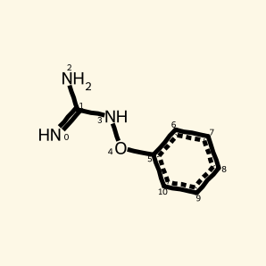 N=C(N)NOc1ccccc1